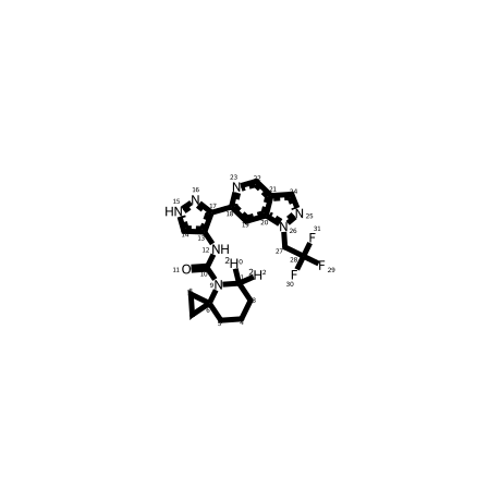 [2H]C1([2H])CCCC2(CC2)N1C(=O)Nc1c[nH]nc1-c1cc2c(cn1)cnn2CC(F)(F)F